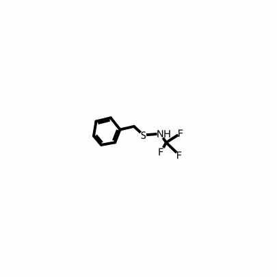 FC(F)(F)NSCc1ccccc1